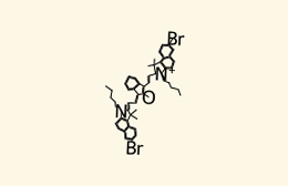 CCCCCN1/C(=C/C=C2C(OC)=C(/C=C/C3=[N+](CCCCC)c4ccc5cc(Br)ccc5c4C3(C)C)c3ccccc3/2)C(C)(C)c2c1ccc1cc(Br)ccc21